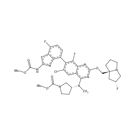 CN(c1nc(OC[C@@]23CCCN2C[C@H](F)C3)nc2c(F)c(-c3ccc(F)c4sc(NC(=O)OC(C)(C)C)nc34)c(Cl)cc12)[C@@H]1CCN(C(=O)OC(C)(C)C)C1